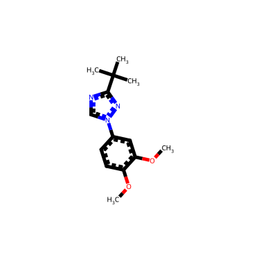 COc1ccc(-n2cnc(C(C)(C)C)n2)cc1OC